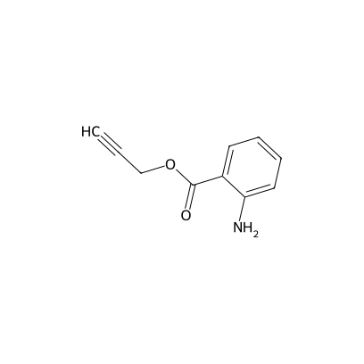 C#CCOC(=O)c1ccccc1N